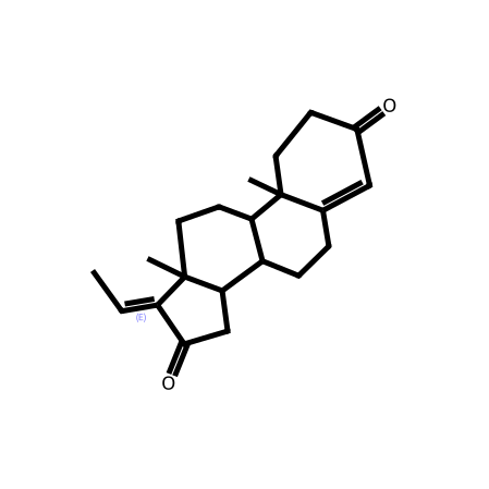 C/C=C1/C(=O)CC2C3CCC4=CC(=O)CCC4(C)C3CCC12C